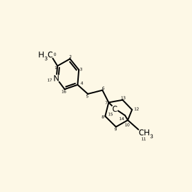 Cc1ccc(CCC23CCC(C)(CC2)CC3)cn1